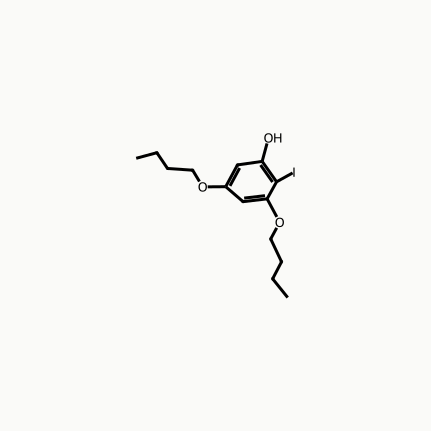 CCCCOc1cc(O)c(I)c(OCCCC)c1